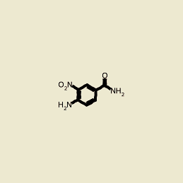 NC(=O)c1ccc(N)c([N+](=O)[O-])c1